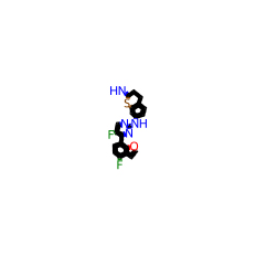 N=C1CCc2ccc(Nc3ncc(F)c(-c4ccc(F)c5ccoc45)n3)cc2S1